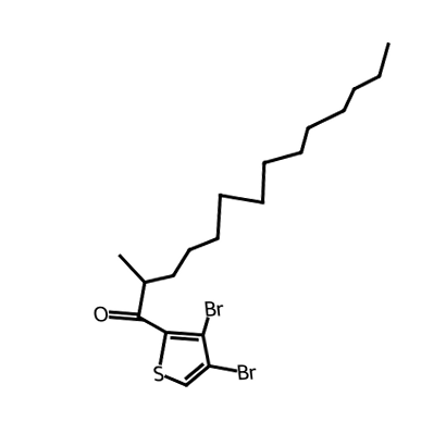 CCCCCCCCCCCCC(C)C(=O)c1scc(Br)c1Br